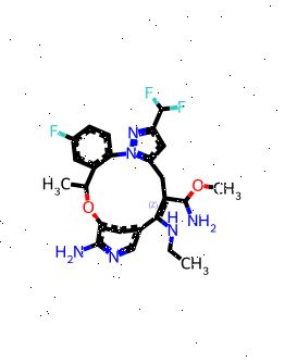 CCN/C1=C(\C(N)OC)Cc2cc(C(F)F)nn2-c2ccc(F)cc2C(C)Oc2cc1cnc2N